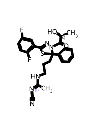 C/C(=N\C#N)NCCCC1(c2ccccc2)SC(c2cc(F)ccc2F)=NN1C(=O)[C@H](C)O